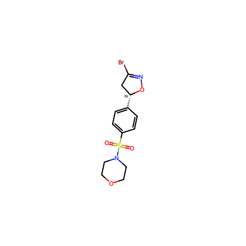 O=S(=O)(c1ccc([C@@H]2CC(Br)=NO2)cc1)N1CCOCC1